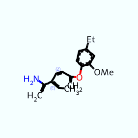 C=C(/C=C\C(=C/C)C(=C)N)Oc1ccc(CC)cc1OC